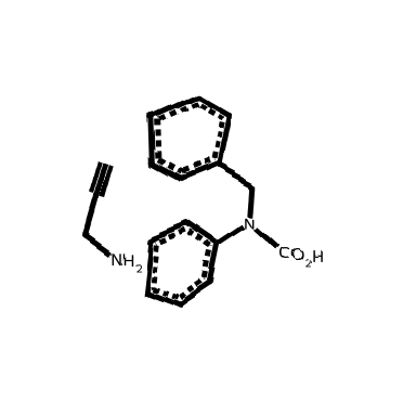 C#CCN.O=C(O)N(Cc1ccccc1)c1ccccc1